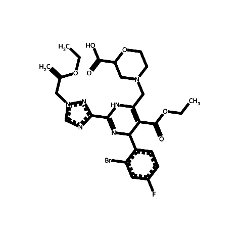 C=C(Cn1cnc(C2=NC(c3ccc(F)cc3Br)C(C(=O)OCC)=C(CN3CCOC(C(=O)O)C3)N2)n1)OCC